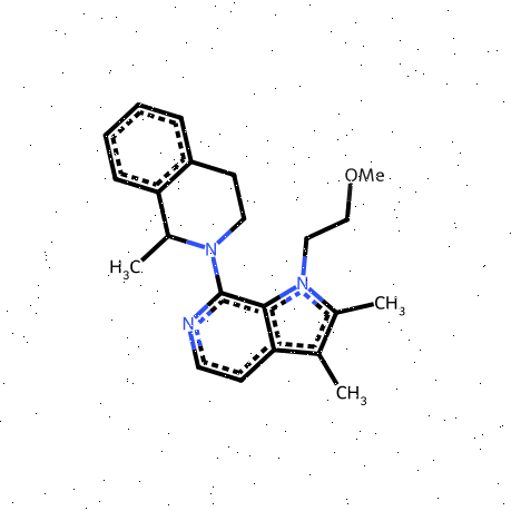 COCCn1c(C)c(C)c2ccnc(N3CCc4ccccc4C3C)c21